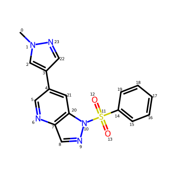 Cn1cc(-c2cnc3cnn(S(=O)(=O)c4ccccc4)c3c2)cn1